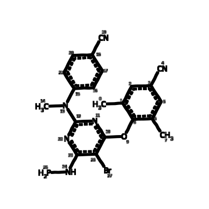 Cc1cc(C#N)cc(C)c1Oc1nc(N(C)c2ccc(C#N)cc2)nc(NP)c1Br